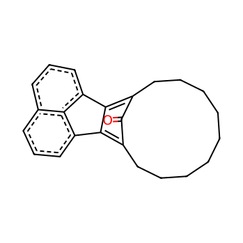 O=C1C2=C3C(=C1CCCCCCCCC2)c1cccc2cccc3c12